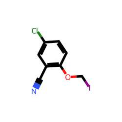 N#Cc1cc(Cl)ccc1OCI